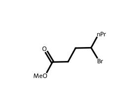 CCCC(Br)CCC(=O)OC